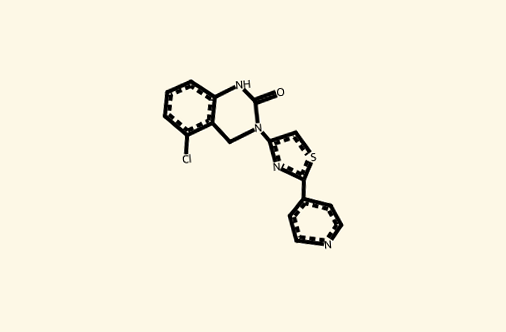 O=C1Nc2cccc(Cl)c2CN1c1csc(-c2ccncc2)n1